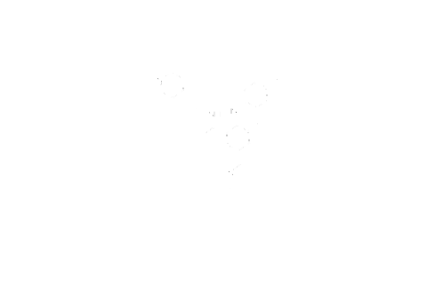 O=C(NOCc1ccncc1)c1cc(C=NOCCO)c(F)c(F)c1Nc1ccc(I)cc1F